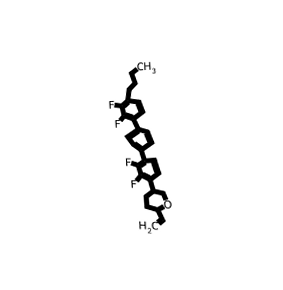 C=CC1CCC(c2ccc(-c3ccc(-c4ccc(CCCC)c(F)c4F)cc3)c(F)c2F)CO1